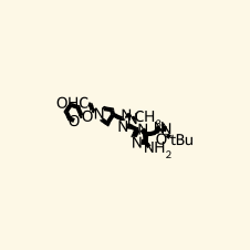 Cn1nc(C2CCN(C(CC=O)OC3CCCCO3)CC2)nc1-c1cnc(N)c(-c2nnc(C(C)(C)C)o2)n1